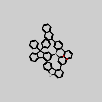 c1ccc(-c2ccc(-c3ccc4ccccc4c3)cc2N(c2cccc(-c3cccc4oc5ccccc5c34)c2)c2ccc3c(c2)C(c2ccccc2)(c2ccccc2)c2ccccc2-3)cc1